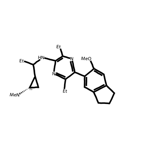 CCc1nc(-c2cc3c(cc2OC)CCC3)c(CC)nc1NC(CC)C1C[C@@H]1NC